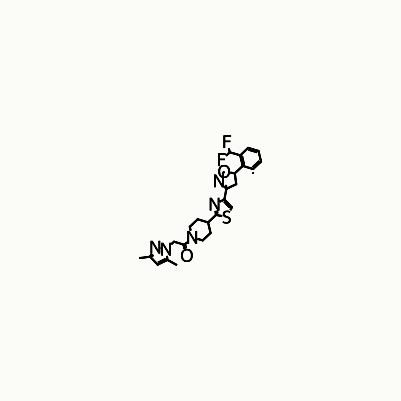 Cc1cc(C)n(CC(=O)N2CCC(c3nc(C4=NOC(c5[c]cccc5C(F)F)C4)cs3)CC2)n1